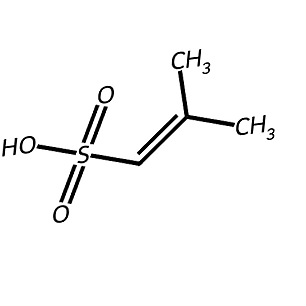 CC(C)=CS(=O)(=O)O